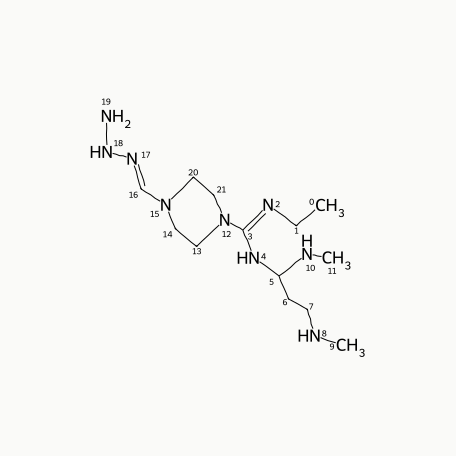 CCN=C(NC(CCNC)NC)N1CCN(C=NNN)CC1